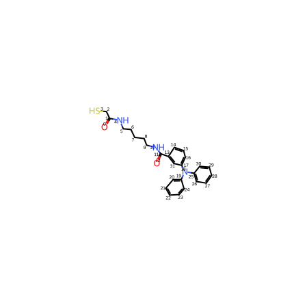 O=C(CS)NCCCCCNC(=O)c1cccc(N(c2ccccc2)c2ccccc2)c1